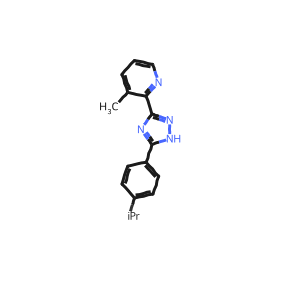 Cc1cccnc1-c1n[nH]c(-c2ccc(C(C)C)cc2)n1